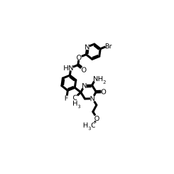 COCCN1CC(C)(c2cc(NC(=O)Oc3ccc(Br)cn3)ccc2F)N=C(N)C1=O